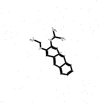 CCOc1cc2cc3ccccc3cc2cc1OC(C)C